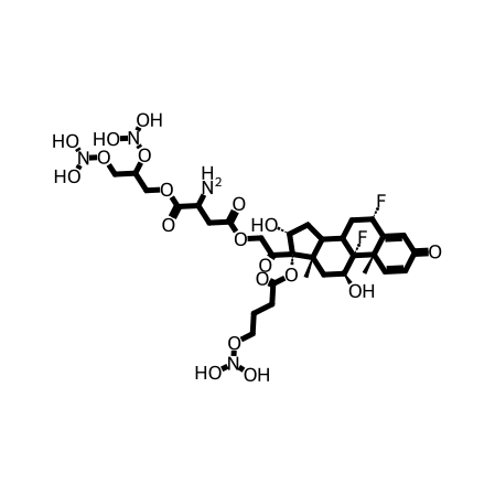 C[C@]12C=CC(=O)C=C1[C@@H](F)CC1C3C[C@@H](O)[C@](OC(=O)CCCON(O)O)(C(=O)COC(=O)CC(N)C(=O)OCC(CON(O)O)ON(O)O)[C@@]3(C)C[C@H](O)[C@@]12F